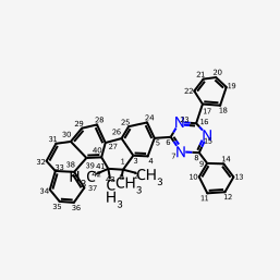 CC1(C)c2cc(-c3nc(-c4ccccc4)nc(-c4ccccc4)n3)ccc2-c2ccc3ccc4ccccc4c3c2C1(C)C